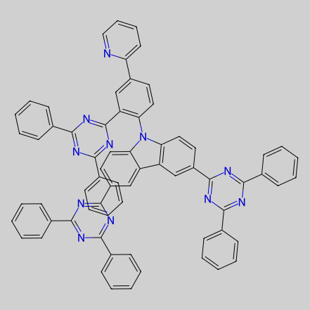 c1ccc(-c2nc(-c3ccccc3)nc(-c3ccc4c(c3)c3cc(-c5nc(-c6ccccc6)nc(-c6ccccc6)n5)ccc3n4-c3ccc(-c4ccccn4)cc3-c3nc(-c4ccccc4)nc(-c4ccccc4)n3)n2)cc1